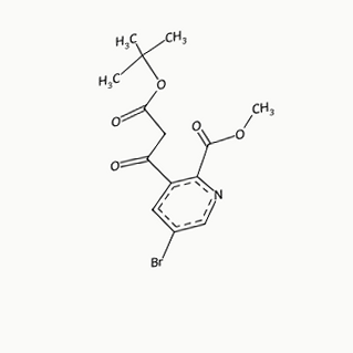 COC(=O)c1ncc(Br)cc1C(=O)CC(=O)OC(C)(C)C